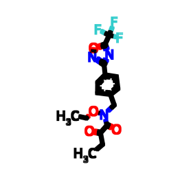 CCON(Cc1ccc(-c2noc(C(F)(F)F)n2)cc1)C(=O)C(=O)CC